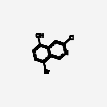 Oc1ccc(Br)c2cnc(Cl)cc12